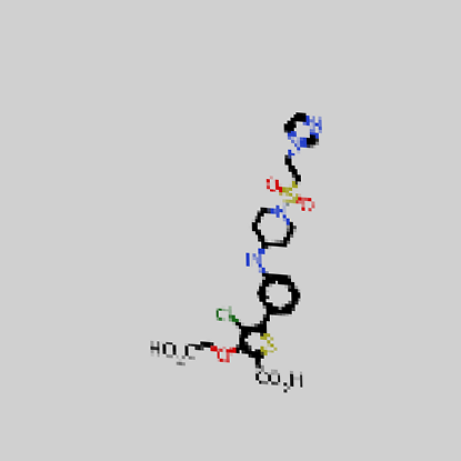 O=C(O)COc1c(C(=O)O)sc(-c2cccc(NC3CCN(S(=O)(=O)CCn4ccnc4)CC3)c2)c1Cl